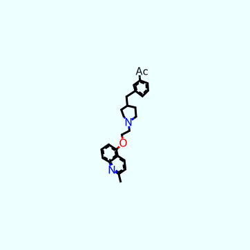 CC(=O)c1cccc(CC2CCN(CCOc3cccc4nc(C)ccc34)CC2)c1